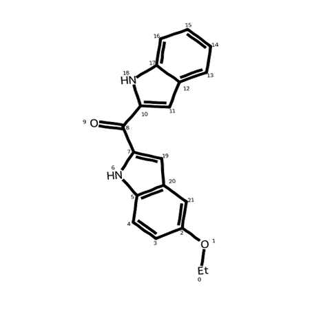 CCOc1ccc2[nH]c(C(=O)c3cc4ccccc4[nH]3)cc2c1